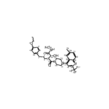 CCOc1ccc(CCCC(C(=O)N2CCN(c3cc(C(F)(F)F)nc4ccc(C)cc34)CC2)[C@H](O)C(=O)NO)cc1